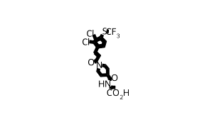 CC(NC(=O)C1CCN(C(=O)C=Cc2ccc(SC(F)(F)F)c(Cl)c2Cl)CC1)C(=O)O